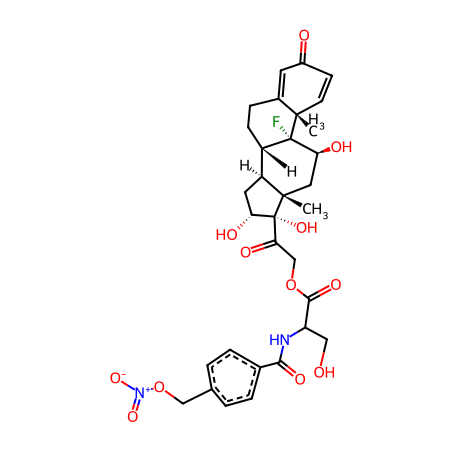 C[C@]12C=CC(=O)C=C1CC[C@H]1[C@@H]3C[C@@H](O)[C@](O)(C(=O)COC(=O)C(CO)NC(=O)c4ccc(CO[N+](=O)[O-])cc4)[C@@]3(C)C[C@H](O)[C@@]12F